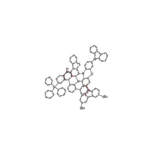 CC(C)(C)c1ccc2c(c1)c1cc(C(C)(C)C)ccc1n2-c1cc2c3c(c1)N(c1c(-c4ccccc4)cccc1-c1ccccc1)c1cc(Nc4ccc([Si](c5ccccc5)(c5ccccc5)c5ccccc5)cc4)c4c(sc5ccccc54)c1B3c1ccc(-n3c4ccccc4c4ccccc43)cc1O2